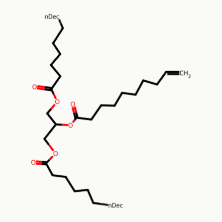 C=CCCCCCCCC(=O)OC(COC(=O)CCCCCCCCCCCCCCC)COC(=O)CCCCCCCCCCCCCCC